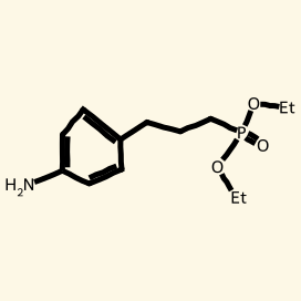 CCOP(=O)(CCCc1ccc(N)cc1)OCC